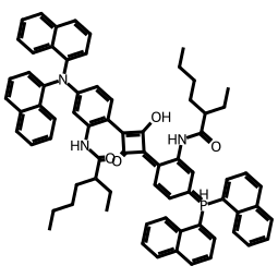 CCCCC(CC)C(=O)NC1=CC(=[PH](c2cccc3ccccc23)c2cccc3ccccc23)C=C/C1=C1\C(=O)C(c2ccc(N(c3cccc4ccccc34)c3cccc4ccccc34)cc2NC(=O)C(CC)CCCC)=C1O